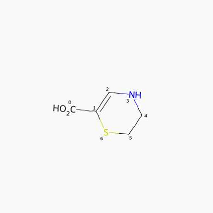 O=C(O)C1=CNCCS1